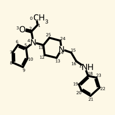 CCC(=O)N(c1ccccc1)C1CCN(CCNc2ccccc2)CC1